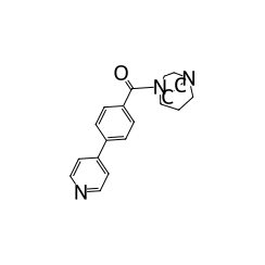 O=C(c1ccc(-c2ccncc2)cc1)N1CCN2CCC1CC2